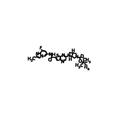 Cc1cn2cc(NC(=O)c3cc4ncc(N5C[C@@H]6CN(C(=O)OC(C)(C)C)C[C@@H]65)nc4s3)cc(F)c2n1